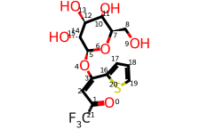 O=C(C=C(O[C@@H]1O[C@H](CO)[C@H](O)[C@H](O)[C@H]1O)c1cccs1)C(F)(F)F